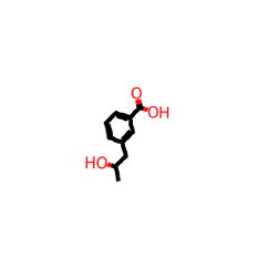 CC(O)Cc1cccc(C(=O)O)c1